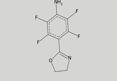 Nc1c(F)c(F)c(C2=NCCO2)c(F)c1F